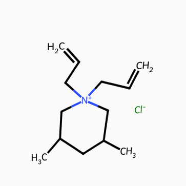 C=CC[N+]1(CC=C)CC(C)CC(C)C1.[Cl-]